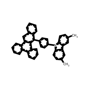 Cc1ccc2c(c1)c1cc(C)ccc1n2-c1ccc(-c2c3ccccc3cc3c4ccccc4c4ccccc4c23)cc1